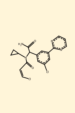 NC(=O)C(c1cc(Cl)cc(-c2ncccn2)c1)N(C(=O)/C=C\Cl)C1CC1